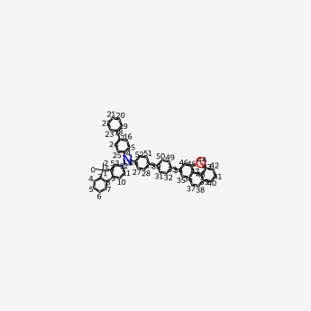 CC1(C)c2ccccc2-c2ccc(N(c3ccc(-c4ccccc4)cc3)c3ccc(-c4ccc(-c5cc6ccc7cccc8oc(c5)c6c78)cc4)cc3)cc21